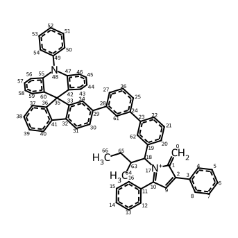 C=C1C(c2ccccc2)=CC(c2ccccc2)=[N+]1C(c1cccc(-c2cccc(-c3ccc4c(c3)C3(c5ccccc5-4)c4ccccc4N(c4ccccc4)c4ccccc43)c2)c1)C(C)CC